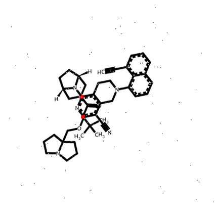 C#Cc1cccc2cccc(N3CCc4c(N5[C@@H]6CC[C@H]5CN(C(=O)OC(C)(C)C)C6)nc(OCC56CCCN5CCC6)c(C#N)c4C3)c12